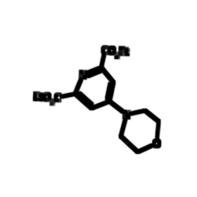 CCOC(=O)c1cc(N2CCOCC2)cc(C(=O)OCC)n1